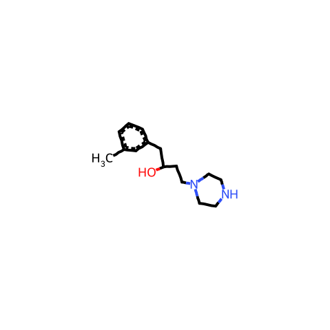 Cc1cccc(CC(O)CCN2CCNCC2)c1